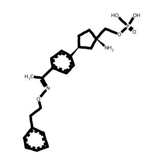 C/C(=N\OCCc1ccccc1)c1ccc([C@H]2CC[C@](N)(COP(=O)(O)O)C2)cc1